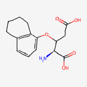 N[C@H](C(=O)O)C(CC(=O)O)Oc1cccc2c1CCCC2